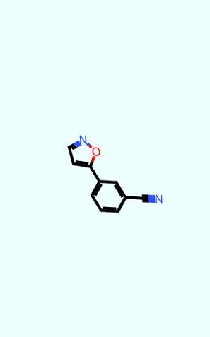 N#Cc1cccc(-c2ccno2)c1